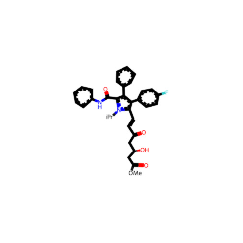 COC(=O)C[C@H](O)CC(=O)C=Cc1c(-c2ccc(F)cc2)c(-c2ccccc2)c(C(=O)Nc2ccccc2)n1C(C)C